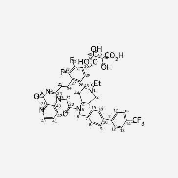 CCN1CCC(N(Cc2ccc(-c3ccc(C(F)(F)F)cc3)cc2)C(=O)Cn2c(CCc3cccc(F)c3F)nc(=O)c3ncccc32)CC1.O=C(O)C(O)C(O)C(=O)O